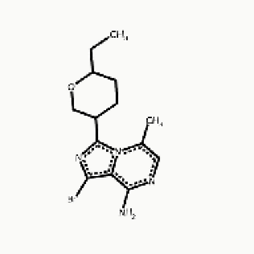 CCC1CCC(c2nc(Br)c3c(N)ncc(C)n23)CO1